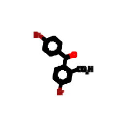 O=C(O)c1cc(Br)ccc1C(=O)c1ccc(Br)cc1